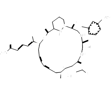 CNC(=O)/C=C/C=C(\C)[C@@H]1C/C=C/C=C/C[C@H](C)[C@@H](O)[C@@H](CCC(C)=O)C(=O)N[C@@H](C(C)C)C(=O)N[C@@H](Cc2cccc(OC)c2)C(=O)N2CCCC(N2)C(=O)O1